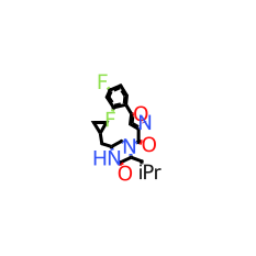 CC(C)CC1C(=O)NC(CC2CC2)CN1C(=O)c1cc(-c2ccc(F)cc2F)on1